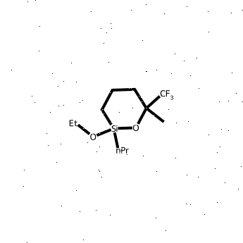 CCC[Si]1(OCC)CCCC(C)(C(F)(F)F)O1